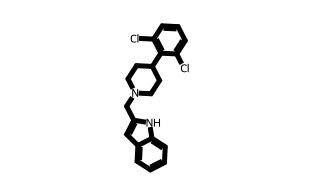 Clc1cccc(Cl)c1C1CCN(Cc2cc3ccccc3[nH]2)CC1